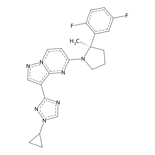 C[C@]1(c2cc(F)ccc2F)CCCN1c1ccn2ncc(-c3ncn(C4CC4)n3)c2n1